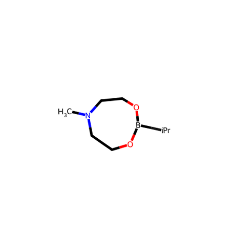 CC(C)B1OCCN(C)CCO1